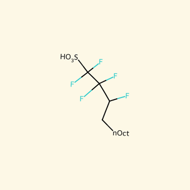 CCCCCCCCCC(F)C(F)(F)C(F)(F)S(=O)(=O)O